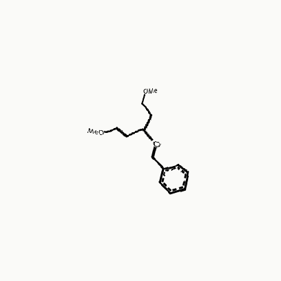 COCCC(CCOC)OCc1ccccc1